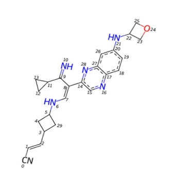 N#C/C=C/C1CC(N/C=C(\C(=N)C2CC2)c2cnc3ccc(NC4COC4)cc3n2)C1